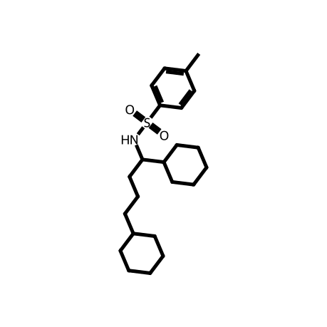 Cc1ccc(S(=O)(=O)NC(CCCC2CCCCC2)C2CCCCC2)cc1